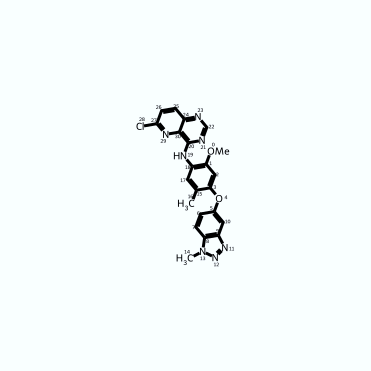 COc1cc(Oc2ccc3c(c2)nnn3C)c(C)cc1Nc1ncnc2ccc(Cl)nc12